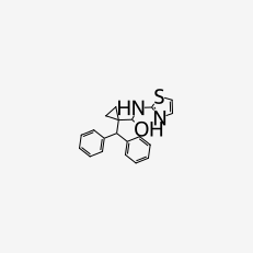 OC(Nc1nccs1)C1(C(c2ccccc2)c2ccccc2)CC1